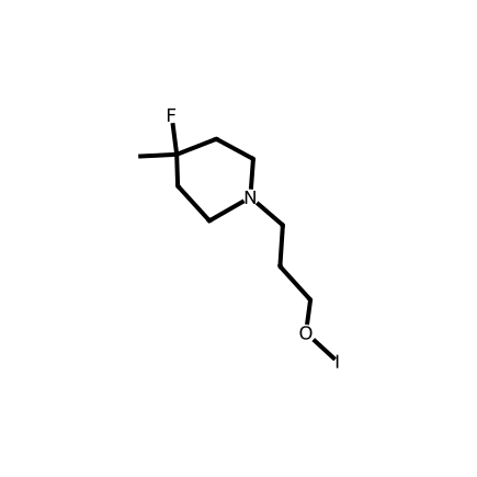 CC1(F)CCN(CCCOI)CC1